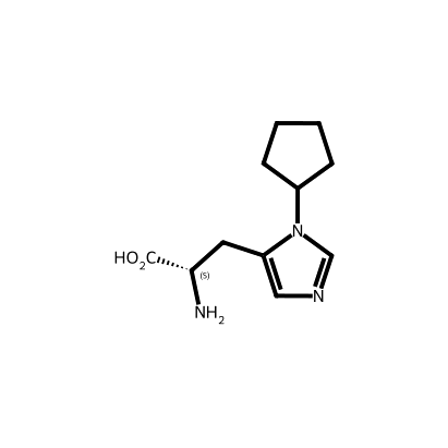 N[C@@H](Cc1cncn1C1CCCC1)C(=O)O